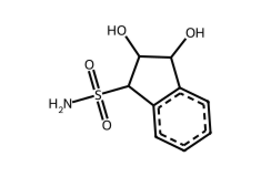 NS(=O)(=O)C1c2ccccc2C(O)C1O